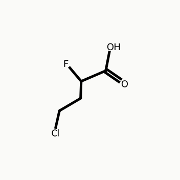 O=C(O)C(F)CCCl